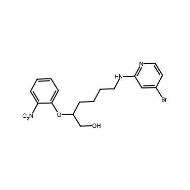 O=[N+]([O-])c1ccccc1OC(CO)CCCCNc1cc(Br)ccn1